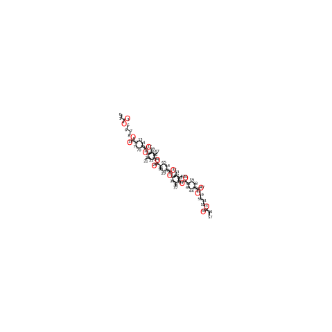 C=CC(=O)OCCCCOC(=O)C1CCC(C(=O)Oc2c(C)cc(OC(=O)C3CCC(C(=O)Oc4cc(C)c(OC(=O)C5CCC(C(=O)OCCCCOC(=O)C=C)CC5)c(C)c4C)CC3)c(C)c2C)CC1